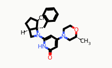 C[C@@H]1CN(c2cc(N3C[C@H]4CC[C@H](C)[C@]43Cc3ccccc3)[nH]c(=O)c2)CCO1